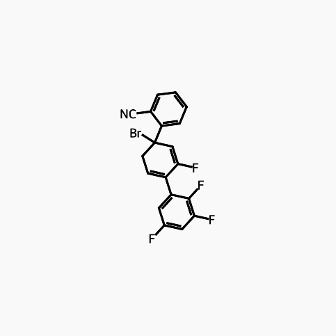 N#Cc1ccccc1C1(Br)C=C(F)C(c2cc(F)cc(F)c2F)=CC1